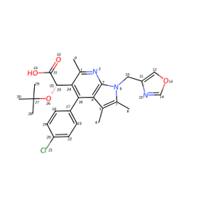 Cc1nc2c(c(C)c(C)n2Cc2cocn2)c(-c2ccc(Cl)cc2)c1[C@H](OC(C)(C)C)C(=O)O